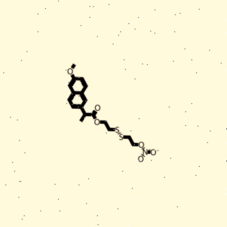 COc1ccc2cc(C(C)C(=O)OCCSSCCO[N+](=O)[O-])ccc2c1